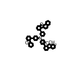 CC1(C)c2ccccc2-c2cccc(-c3ccc(N(c4ccc(-c5cccc6oc7ccccc7c56)cc4)c4cccc(-c5cccc6oc7c8ccccc8ccc7c56)c4)cc3)c21